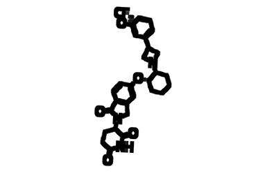 O=C1CCC(N2Cc3cc(O[C@H]4CCCC[C@@H]4N4CC(c5cccc(OC(F)(F)F)c5)C4)ccc3C2=O)C(=O)N1